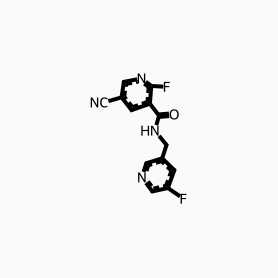 N#Cc1cnc(F)c(C(=O)NCc2cncc(F)c2)c1